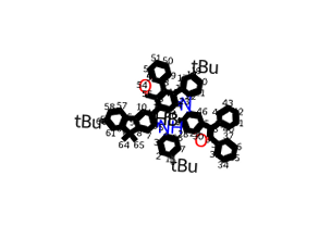 CC(C)(C)c1ccc(Nc2cc3c(cc2-c2c4c(c5c6cc(C(C)(C)C)ccc6n6c5c2Bc2cc5oc(-c7ccccc7)c(-c7ccccc7)c5cc2-6)-c2ccccc2OC4)-c2ccc(C(C)(C)C)cc2C3(C)C)cc1